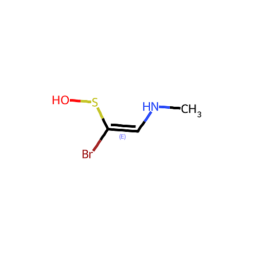 CN/C=C(/Br)SO